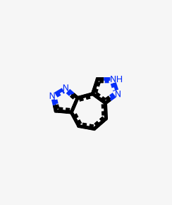 c1cc2cnnc-2c2c[nH]nc2c1